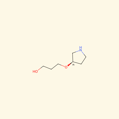 OCCCO[C@@H]1CCNC1